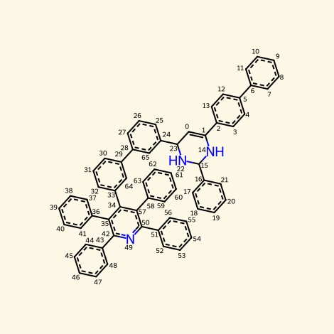 C1=C(c2ccc(-c3ccccc3)cc2)NC(c2ccccc2)NC1c1cccc(-c2cccc(-c3c(-c4ccccc4)c(-c4ccccc4)nc(-c4ccccc4)c3-c3ccccc3)c2)c1